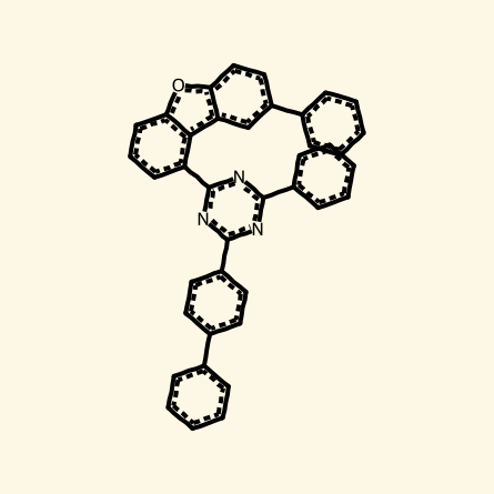 c1ccc(-c2ccc(-c3nc(-c4ccccc4)nc(-c4cccc5oc6ccc(-c7ccccc7)cc6c45)n3)cc2)cc1